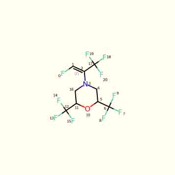 F/C=C(\N1CC(C(F)(F)F)OC(C(F)(F)F)C1)C(F)(F)F